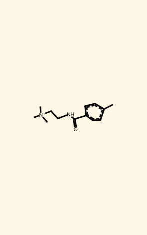 Cc1ccc(C(=O)NCC[N+](C)(C)C)cc1